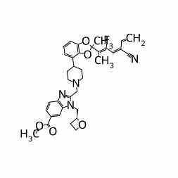 C=C/C(C#N)=C\C(F)=C(/C)C1(C)Oc2cccc(C3CCN(Cc4nc5ccc(C(=O)OC)cc5n4C[C@@H]4CCO4)CC3)c2O1